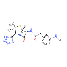 CNc1cccc(CC(=O)NC2C(=O)N3C(c4nnn[nH]4)C(C)(C)S[C@H]23)c1